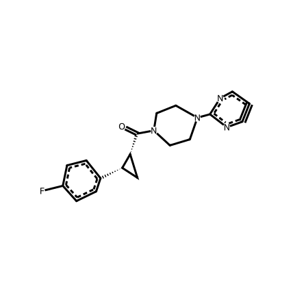 O=C([C@@H]1C[C@@H]1c1ccc(F)cc1)N1CCN(c2nc#ccn2)CC1